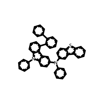 c1ccc(-c2ccccc2-c2cccc3c2c2cc(N(c4ccccc4)c4ccc5sc6ccccc6c5c4)ccc2n3-c2ccccc2)cc1